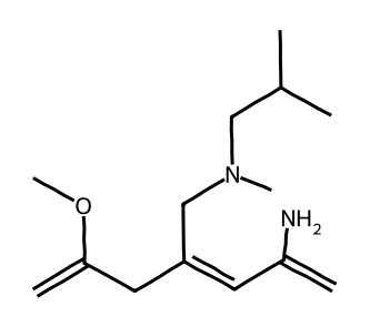 C=C(N)/C=C(/CC(=C)OC)CN(C)CC(C)C